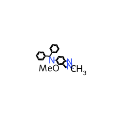 COc1c(N=C(c2ccccc2)c2ccccc2)ccc2nn(C)cc12